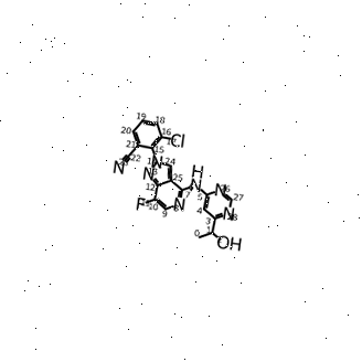 CC(O)c1cc(Nc2ncc(F)c3nn(-c4c(Cl)cccc4C#N)cc23)ncn1